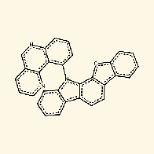 c1cnc2c(c1)cnc1cccc(-n3c4ccccc4c4ccc5c6ccccc6oc5c43)c12